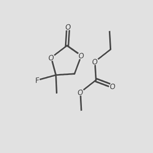 CC1(F)COC(=O)O1.CCOC(=O)OC